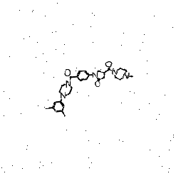 Cc1cc(C)cc(N2CCN(C(=O)c3ccc(N4CC(C(=O)N5CCN(C)CC5)CC4=O)cc3)CC2)c1